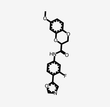 COc1ccc2c(c1)OC(C(=O)Nc1ccc(-c3cnco3)c(F)c1)CO2